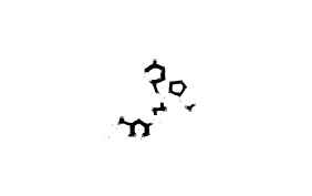 COc1ncc(NC(=O)C(=O)N(Cc2ccc(C(F)(F)F)cn2)[C@@H]2CCC[C@H]2OC(F)F)cc1C(N)=O